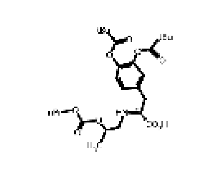 CCCOC(=O)OC(C)CN[C@@H](Cc1ccc(OC(=O)C(C)(C)C)c(OC(=O)C(C)(C)C)c1)C(=O)O